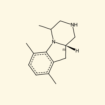 Cc1ccc(C)c2c1C[C@H]1CNCC(C)N21